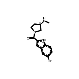 CN[C@@H]1CCN(C(=O)c2cc3cc(Br)ccc3[nH]2)C1